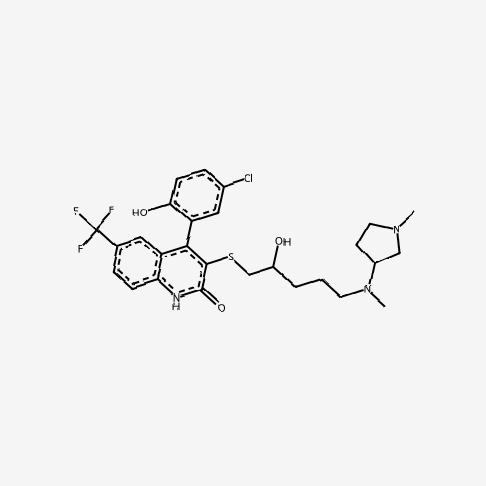 CN1CCC(N(C)CCCC(O)CSc2c(-c3cc(Cl)ccc3O)c3cc(C(F)(F)F)ccc3[nH]c2=O)C1